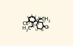 C=Cc1c(Cl)cccc1C1(C=C)CCCC(=O)C1